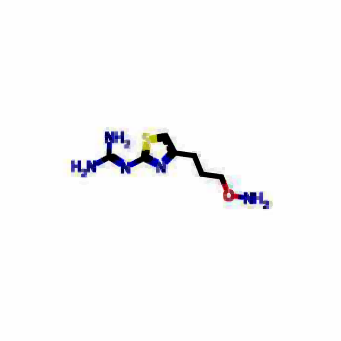 NOCCCc1csc(N=C(N)N)n1